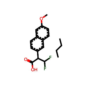 CCCC.COc1ccc2cc(C(C(=O)O)C(F)F)ccc2c1